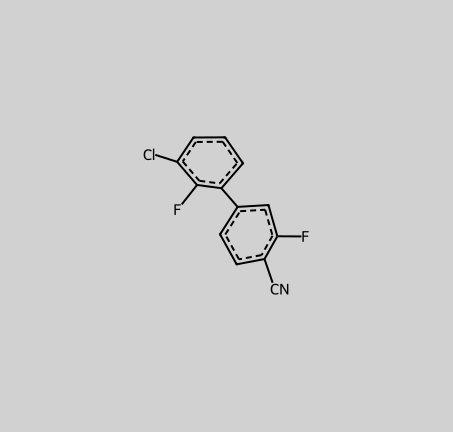 N#Cc1ccc(-c2cccc(Cl)c2F)cc1F